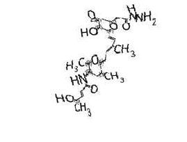 CC(C=C[C@H]1O[C@H](CC(=O)NN)C[C@@]2(CO2)[C@@H]1O)=CC[C@@H]1O[C@H](C)[C@H](NC(=O)C=C[C@H](C)O)C[C@@H]1C